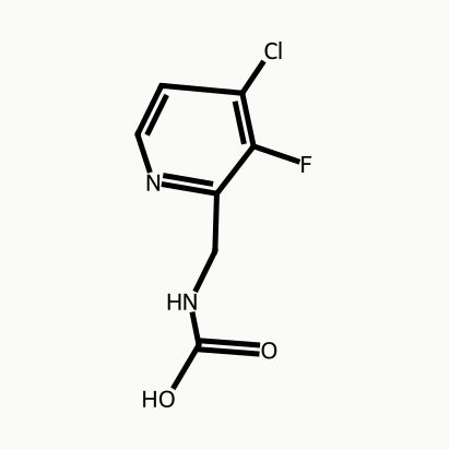 O=C(O)NCc1nccc(Cl)c1F